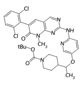 CC(Oc1ccc(Nc2ncc3cc(-c4c(Cl)cccc4Cl)c(=O)n(C)c3n2)nc1)C1CCN(C(=O)OC(C)(C)C)CC1